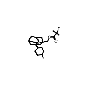 CC1CCC(C23CC4CC(CC(COC(=O)C(C)(C)F)(C4)C2)C3)CC1